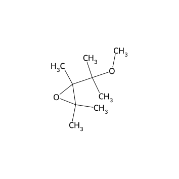 COC(C)(C)C1(C)OC1(C)C